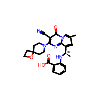 Cc1cc([C@@H](C)Nc2ccccc2C(=O)O)c2nc(N3CCC4(CCO4)CC3)c(C#N)c(=O)n2c1